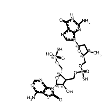 C[C@@H]1C[C@H](n2cnc3c(=O)[nH]c(N)nc32)O[C@@H]1COP(=O)(S)OCC1[C@@H](O)[C@H](n2c(=O)sc3c(N)ncnc32)O[C@@H]1CO[P@](=O)(O)S